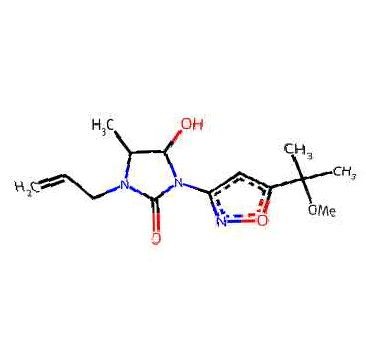 C=CCN1C(=O)N(c2cc(C(C)(C)OC)on2)C(O)C1C